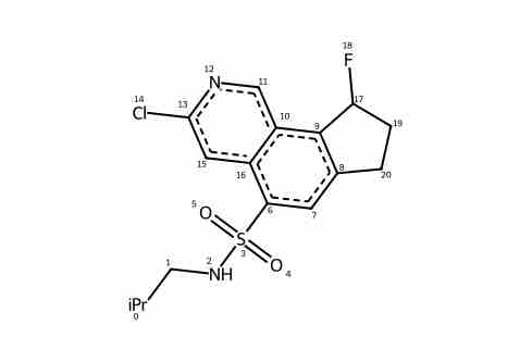 CC(C)CNS(=O)(=O)c1cc2c(c3cnc(Cl)cc13)C(F)CC2